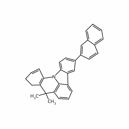 CC1(C)C2=C(C=CCC2)n2c3ccc(-c4ccc5ccccc5c4)cc3c3cccc1c32